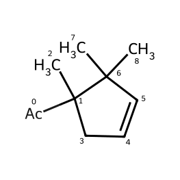 CC(=O)C1(C)CC=CC1(C)C